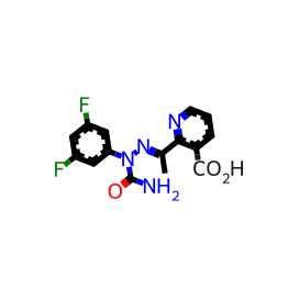 CC(=NN(C(N)=O)c1cc(F)cc(F)c1)c1ncccc1C(=O)O